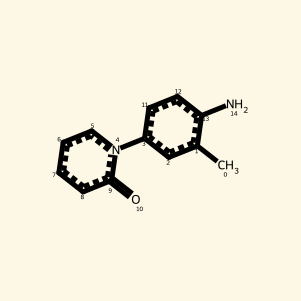 Cc1cc(-n2ccccc2=O)ccc1N